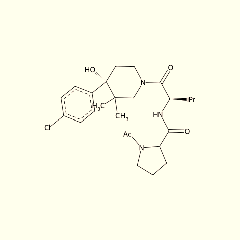 CC(=O)N1CCCC1C(=O)N[C@@H](C(=O)N1CC[C@](O)(c2ccc(Cl)cc2)C(C)(C)C1)C(C)C